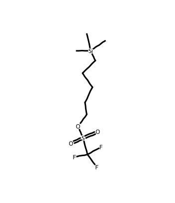 C[Si](C)(C)CCCCCOS(=O)(=O)C(F)(F)F